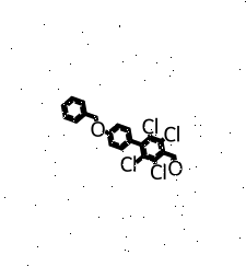 O=Cc1c(Cl)c(Cl)c(-c2ccc(OCc3ccccc3)cc2)c(Cl)c1Cl